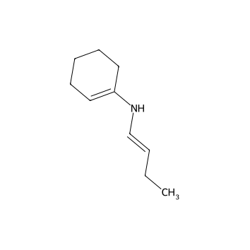 CCC=CNC1=CCCCC1